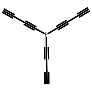 C#CC#CP(C#CC#C)C#CC#C